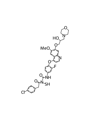 COc1cc2c(Oc3ccc(NC(=O)N(S)C(=O)Cc4ccc(Cl)cc4)cc3F)ccnc2cc1OCC(O)CN1CCOCC1